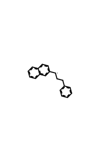 [CH](CCc1ccccc1)c1ccc2ccccc2c1